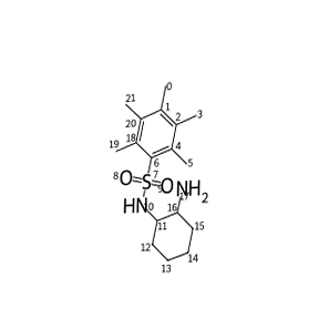 Cc1c(C)c(C)c(S(=O)(=O)NC2CCCCC2N)c(C)c1C